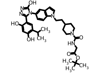 CC(C)c1cc(-c2nnc(O)n2-c2ccc3c(ccn3CCC3CCN(C(=O)NCC(=O)OC(C)(C)C)CC3)c2)c(O)cc1O